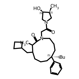 CCC(C)[C@]1(c2ccccc2)CCCC(CC2CCC2)C(C)C(=O)N(CC(=O)N2C[C@@H](O)[C@@H](C)C2)CCC1